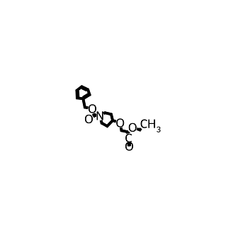 CCOC(=C=O)COC1CCN(C(=O)OCc2ccccc2)CC1